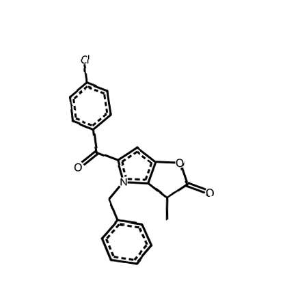 CC1C(=O)Oc2cc(C(=O)c3ccc(Cl)cc3)n(Cc3ccccc3)c21